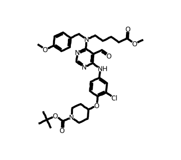 COC(=O)CCCCN(Cc1ccc(OC)cc1)c1ncnc(Nc2ccc(OC3CCN(C(=O)OC(C)(C)C)CC3)c(Cl)c2)c1C=O